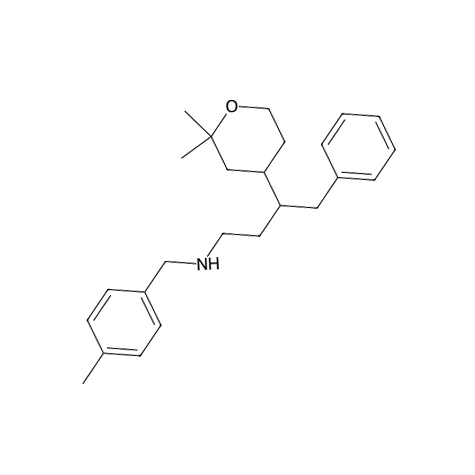 Cc1ccc(CNCCC(Cc2ccccc2)C2CCOC(C)(C)C2)cc1